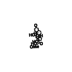 COC(O)C(=O)[C@@]1(O)CC[C@H]2[C@@H]3CCC4=CC(=O)C=C[C@]4(C)[C@H]3C(O)C[C@@]21C